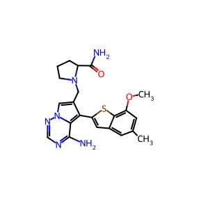 COc1cc(C)cc2cc(-c3c(CN4CCCC4C(N)=O)cn4ncnc(N)c34)sc12